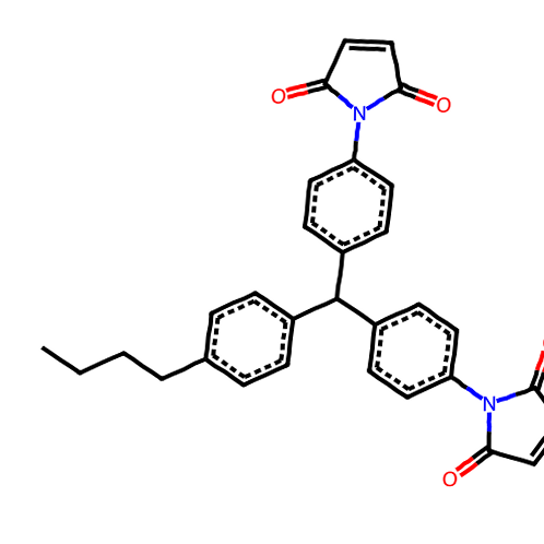 CCCCc1ccc(C(c2ccc(N3C(=O)C=CC3=O)cc2)c2ccc(N3C(=O)C=CC3=O)cc2)cc1